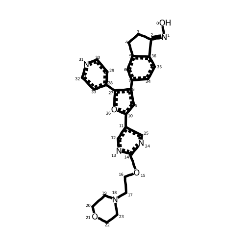 O/N=C1\CCc2cc(-c3cc(-c4cnc(OCCN5CCOCC5)nc4)oc3-c3ccncc3)ccc21